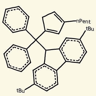 CCCCCC1=CCC(C(c2ccccc2)(c2ccccc2)C2c3cc(C(C)(C)C)ccc3-c3ccc(C(C)(C)C)cc32)=C1